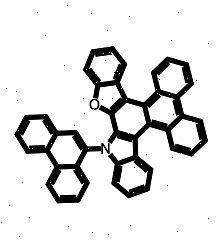 c1ccc2c(c1)cc(-n1c3ccccc3c3c4c5ccccc5c5ccccc5c4c4c5ccccc5oc4c31)c1ccccc12